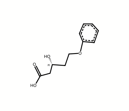 O=C(O)C[C@H](O)CCOc1ccccc1